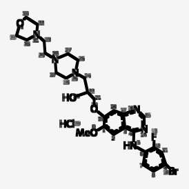 COc1cc2c(Nc3ccc(Br)cc3F)ncnc2cc1OCC(O)CN1CCN(CCN2CCOCC2)CC1.Cl